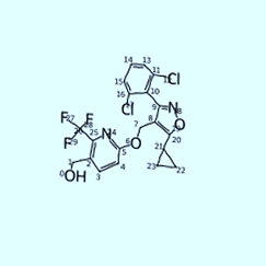 OCc1ccc(OCc2c(-c3c(Cl)cccc3Cl)noc2C2CC2)nc1C(F)(F)F